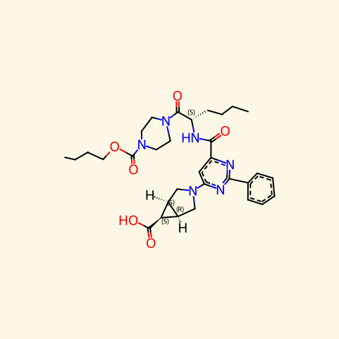 CCCCOC(=O)N1CCN(C(=O)[C@H](CCCC)NC(=O)c2cc(N3C[C@@H]4[C@H](C3)[C@@H]4C(=O)O)nc(-c3ccccc3)n2)CC1